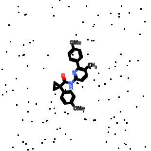 COc1ccc(-c2nc(NC(=O)C3(c4ccc(OC)cc4)CC3)ccc2C)cc1